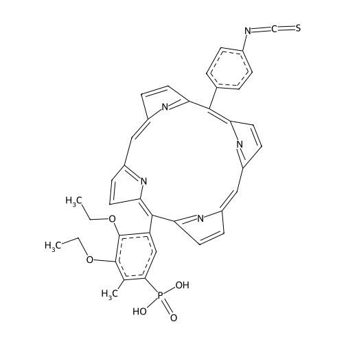 CCOc1c(C2=C3C=CC(=N3)C=C3C=CC(=N3)C(c3ccc(N=C=S)cc3)=C3C=CC(=N3)C=C3C=CC2=N3)cc(P(=O)(O)O)c(C)c1OCC